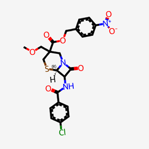 COCC1(C(=O)OCc2ccc([N+](=O)[O-])cc2)CS[C@@H]2C(NC(=O)c3ccc(Cl)cc3)C(=O)N2C1